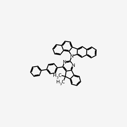 CC1(C)c2ccccc2-c2nc(-n3c4cc5ccccc5cc4c4ccc5ccccc5c43)nc(-c3ccc(-c4ccccc4)cc3)c21